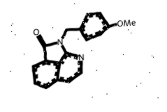 COc1ccc(CN2C(=O)c3cccc4ccnc2c34)cc1